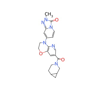 Cn1nc2cc(N3CCOc4cc(C(=O)N5CCC6CC6C5)cnc43)ccn2c1=O